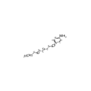 Nc1ccc(OCCOCCOCCO)cc1